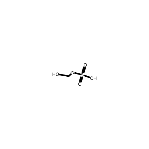 O=S(=O)(O)[N]CO